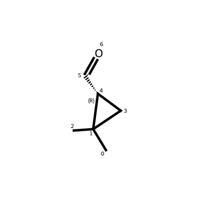 CC1(C)C[C@H]1[C]=O